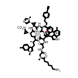 C#Cc1ccc(CCNC(=O)C2CCCN2C(=O)[C@H](Cc2ccc(O)cc2)NC(=O)[C@@]2(NC(=O)C(CC(=O)C(NC(=O)C(NC(=O)CNC(=O)CN(C)C(=O)CCCCCN)C3CC3c3c[nH]c4ccc(C)cc34)[C@H](C)Cc3cn(C)c4cc(C)ccc34)[C@@H]3CC3C(=O)O)C[C@H]2c2cncn2C)cc1